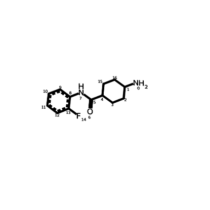 NC1CCC(C(=O)Nc2ccccc2F)CC1